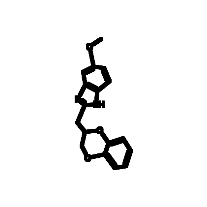 COc1ccc2[nH]c(CC3COc4ccccc4O3)nc2c1